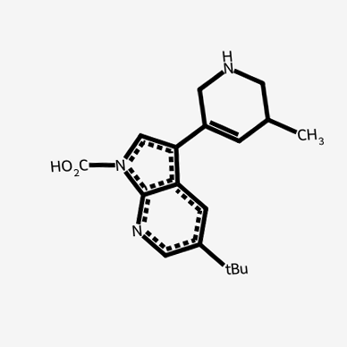 CC1C=C(c2cn(C(=O)O)c3ncc(C(C)(C)C)cc23)CNC1